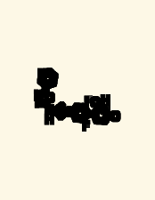 O=C1CCC(c2c(F)cc(N3CC(Nc4nnc(-c5cccnc5)o4)C3)cc2F)C(=O)N1